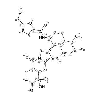 CC[C@@]1(O)C(=O)OCc2c1cc1n(c2=O)Cc2c-1nc1cc(F)c(C)c3c1c2[C@@H](NC(=O)c1ccc(CO)o1)CC3